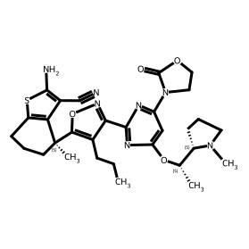 CCCc1c(-c2nc(O[C@@H](C)[C@@H]3CCCN3C)cc(N3CCOC3=O)n2)noc1[C@@]1(C)CCCc2sc(N)c(C#N)c21